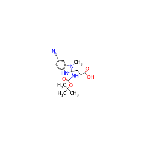 CN1c2cc(C#N)ccc2N[C@@]1(CCC(=O)O)NC(=O)OC(C)(C)C